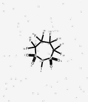 O=S1(=O)N(I)S(=O)(=O)C(F)(F)C(F)(F)C(F)(F)C1(F)F